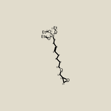 CCO[Si](CCC=CCCCCOCC1CO1)(OCC)OCC